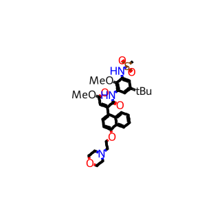 COC(=O)C=C(C(=O)Nc1cc(C(C)(C)C)cc(NS(C)(=O)=O)c1OC)c1ccc(OCCN2CCOCC2)c2ccccc12